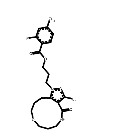 CCc1nn(CCCOC(=O)c2ccc(C)cc2F)c2c1C(=O)NCCCOCCC2